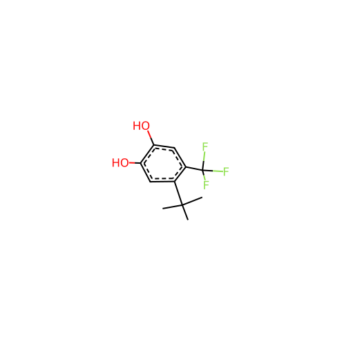 CC(C)(C)c1cc(O)c(O)cc1C(F)(F)F